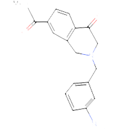 COC(=O)c1ccc2c(c1)CN(Cc1cccc(N)c1)CC2=O